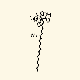 CCCCCCCCCCCCCCCCCC(=O)CC(O)(C(=O)O)C(=O)C(C)O.[Na]